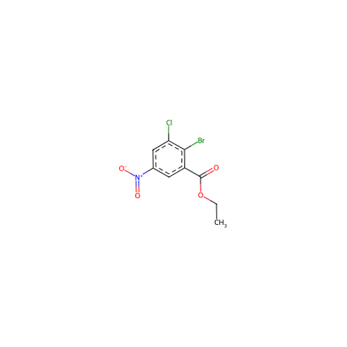 CCOC(=O)c1cc([N+](=O)[O-])cc(Cl)c1Br